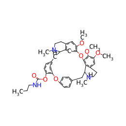 CCCNC(=O)Oc1ccc2cc1Oc1ccc(cc1)C[C@H]1c3c(cc(OC)c(OC)c3Oc3cc4c(cc3OC)CCN(C)[C@@H]4C2)CCN1C